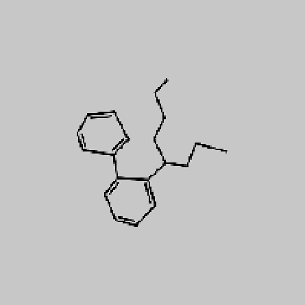 CCCCC(CCC)c1ccccc1-c1ccccc1